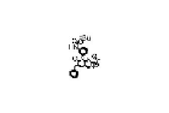 CC(C)(C)OC(=O)Nc1cccc(-n2c(=O)c(Cc3ccccc3)cc3cnc(S(C)(=O)=O)nc32)c1